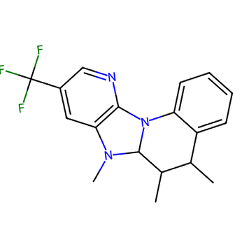 CC1c2ccccc2N2c3ncc(C(F)(F)F)cc3N(C)C2C1C